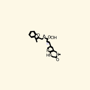 Cc1c(CN(C)C(=O)/C=C/c2cnc3c(c2)CN(C)C(=O)CN3)oc2ccccc12.Cl